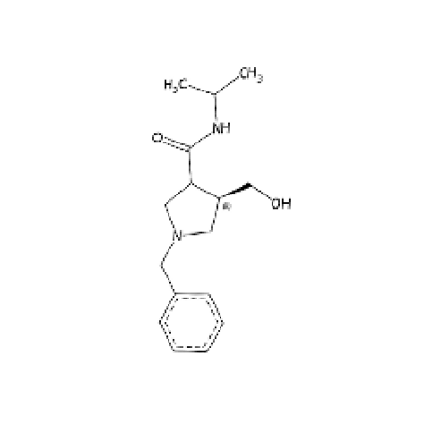 CC(C)NC(=O)C1CN(Cc2ccccc2)C[C@@H]1CO